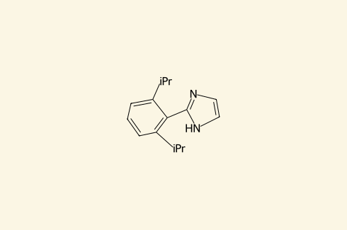 CC(C)c1cccc(C(C)C)c1-c1ncc[nH]1